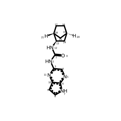 O=C(Nc1cnc2[nH]ccc2n1)N[C@@H]1C[C@@H]2CC[C@@H]1C2